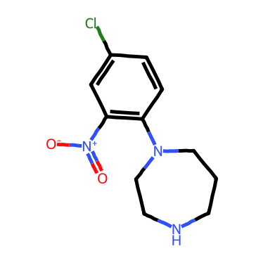 O=[N+]([O-])c1cc(Cl)ccc1N1CCCNCC1